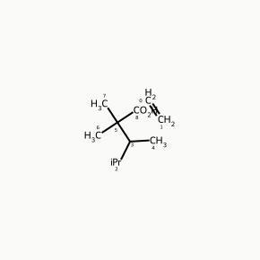 C=C.CC(C)C(C)C(C)(C)C(=O)O